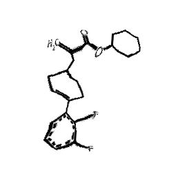 C=C(C(=O)OC1CCCCC1)C1CC=C(c2cccc(F)c2F)CC1